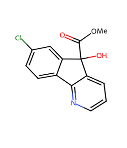 COC(=O)C1(O)c2cc(Cl)ccc2-c2ncccc21